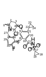 C[C@H]1CC[C@@H](Oc2cc(F)c(C(=O)NS(=O)(=O)C3CC3)cc2C2CC2)CN1Cc1ccc(F)cc1Cl